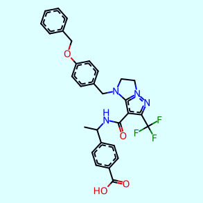 CC(NC(=O)c1c(C(F)(F)F)nn2c1N(Cc1ccc(OCc3ccccc3)cc1)CC2)c1ccc(C(=O)O)cc1